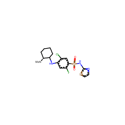 CN[C@H]1CCCCC1Nc1cc(F)c(S(=O)(=O)Nc2nccs2)cc1Cl